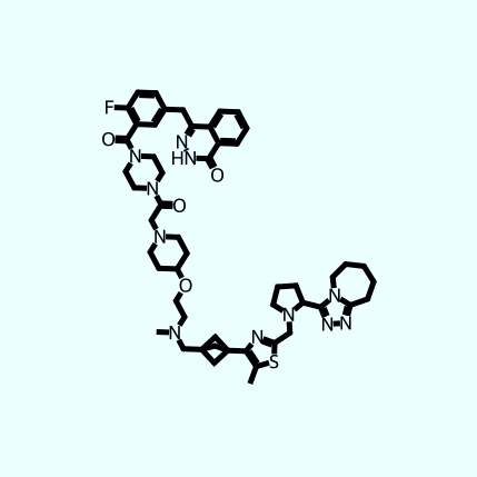 Cc1sc(CN2CCCC2c2nnc3n2CCCCC3)nc1C12CC(CN(C)CCOC3CCN(CC(=O)N4CCN(C(=O)c5cc(Cc6n[nH]c(=O)c7ccccc67)ccc5F)CC4)CC3)(C1)C2